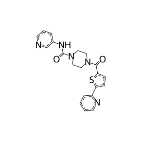 O=C(Nc1cccnc1)N1CCN(C(=O)c2ccc(-c3ccccn3)s2)CC1